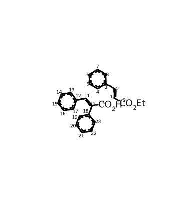 CCOC(=O)C=Cc1ccccc1.O=C(O)/C(=C/c1ccccc1)c1ccccc1